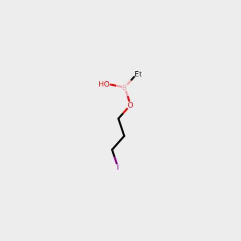 CCB(O)OCCCI